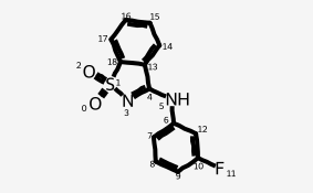 O=S1(=O)N=C(Nc2cccc(F)c2)c2ccccc21